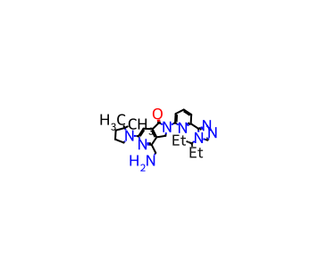 CCC(CC)n1cnnc1-c1cccc(N2Cc3c(cc(N4CCCC4(C)C)nc3CN)C2=O)n1